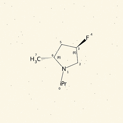 CC(C)N1C[C@H](F)C[C@H]1C